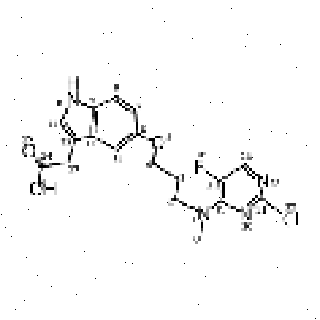 CN(CCCOc1ccc2[nH]cc(CC(=O)O)c2c1)c1nc(Cl)ncc1F